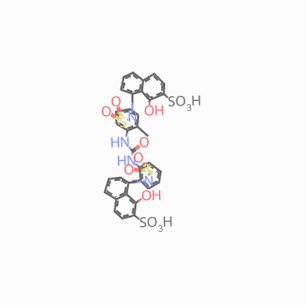 Cc1c2ccc(c1NC(=O)Nc1c3ccc(c1C)N(c1cccc4ccc(S(=O)(=O)O)c(O)c14)S3(=O)=O)S(=O)(=O)N2c1cccc2ccc(S(=O)(=O)O)c(O)c12